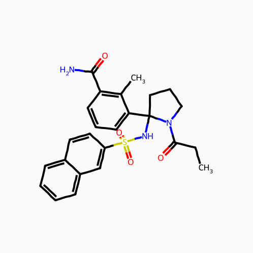 CCC(=O)N1CCCC1(NS(=O)(=O)c1ccc2ccccc2c1)c1cccc(C(N)=O)c1C